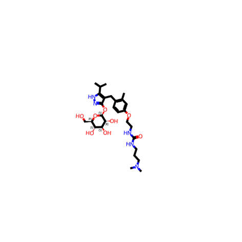 Cc1cc(OCCNC(=O)NCCCN(C)C)ccc1Cc1c(O[C@@H]2O[C@H](CO)[C@@H](O)[C@H](O)[C@H]2O)n[nH]c1C(C)C